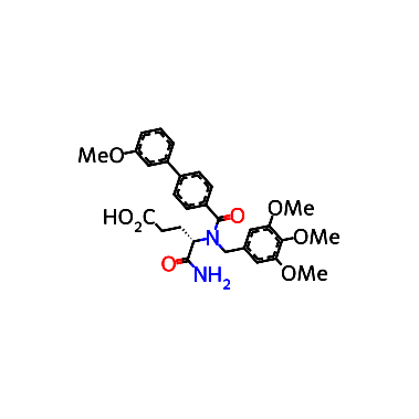 COc1cccc(-c2ccc(C(=O)N(Cc3cc(OC)c(OC)c(OC)c3)[C@@H](CCC(=O)O)C(N)=O)cc2)c1